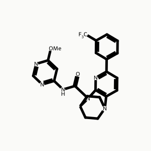 COc1cc(NC(=O)N2c3nc(-c4cccc(C(F)(F)F)c4)ccc3N3CCC2CC3)ncn1